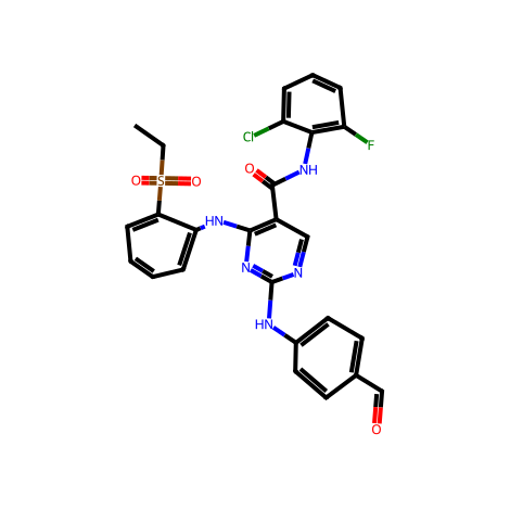 CCS(=O)(=O)c1ccccc1Nc1nc(Nc2ccc(C=O)cc2)ncc1C(=O)Nc1c(F)cccc1Cl